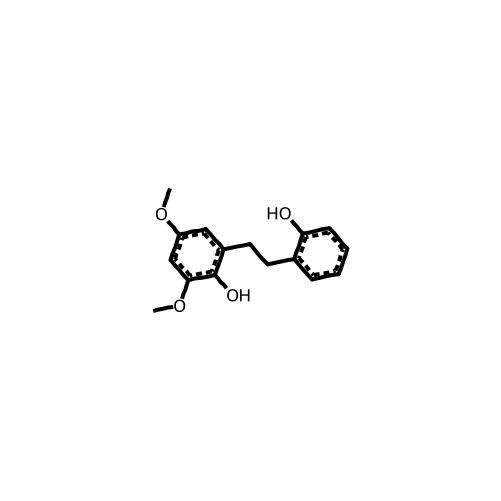 COc1cc(CCc2ccccc2O)c(O)c(OC)c1